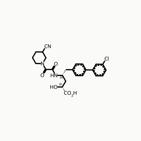 N#CC1CCCN(C(=O)C(=O)N[C@H](Cc2ccc(-c3cccc(Cl)c3)cc2)C[C@@H](O)C(=O)O)C1